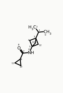 CC(C)C12CC(NC(=O)C3CC3)(C1)C2